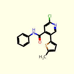 Cc1ccc(-c2cnc(Cl)cc2C(=O)Nc2ccccc2)s1